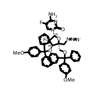 COc1ccc(C(OC[C@@]2(CN=[N+]=[N-])O[C@@H](n3cc(F)c(N)nc3=O)[C@@H](F)[C@@H]2OC(c2ccccc2)(c2ccccc2)c2ccc(OC)cc2)(c2ccccc2)c2ccccc2)cc1